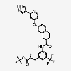 CC(C)(C)OC(=O)NCc1cc(NC(=O)C2CCc3ccc(Oc4ccnc(-c5cn[nH]c5)c4)cc3C2)cc(C(F)(F)F)c1